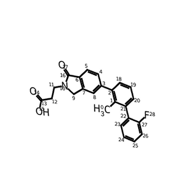 Cc1c(-c2ccc3c(c2)CN(CCC(=O)O)C3=O)cccc1-c1ccccc1F